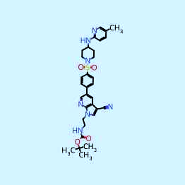 Cc1ccc(NC2CCN(S(=O)(=O)c3ccc(-c4cnc5c(c4)c(C#N)cn5CCNC(=O)OC(C)(C)C)cc3)CC2)nc1